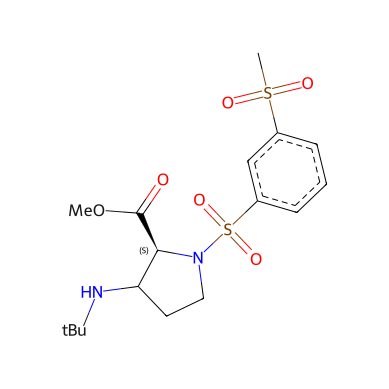 COC(=O)[C@@H]1C(NC(C)(C)C)CCN1S(=O)(=O)c1cccc(S(C)(=O)=O)c1